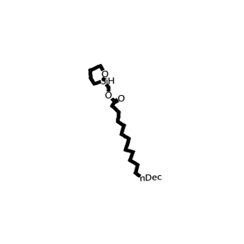 CCCCCCCCCCCCCCCCCCCCCC(=O)OC[SiH]1CCCCO1